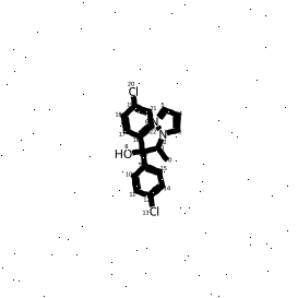 CC(n1cccn1)C(O)(c1ccc(Cl)cc1)c1ccc(Cl)cc1